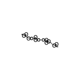 C=COC(=O)CCOc1ccc(C(=O)Oc2ccc(-c3ccc(OC(=O)OCCCCOC(=O)C=C)cc3)cc2)cc1